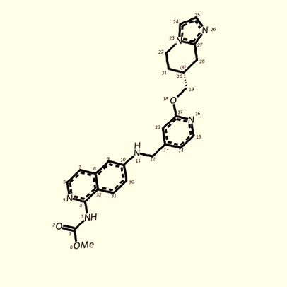 COC(=O)Nc1nccc2cc(NCc3ccnc(OC[C@@H]4CCn5ccnc5C4)c3)ccc12